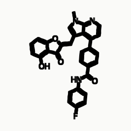 Cn1cc(C=C2Oc3cccc(O)c3C2=O)c2c(-c3ccc(C(=O)Nc4ccc(F)cc4)cc3)ccnc21